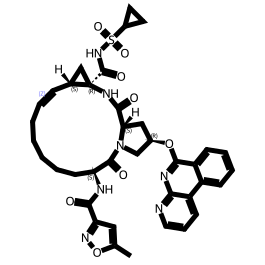 Cc1cc(C(=O)N[C@H]2CCCCC/C=C\[C@@H]3C[C@@]3(C(=O)NS(=O)(=O)C3CC3)NC(=O)[C@@H]3C[C@@H](Oc4nc5ncccc5c5ccccc45)CN3C2=O)no1